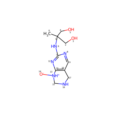 CC(CO)(CO)Nc1ncc2c(n1)[NH+]([O-])CNC2